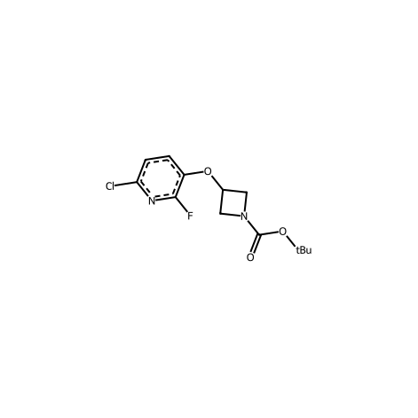 CC(C)(C)OC(=O)N1CC(Oc2ccc(Cl)nc2F)C1